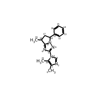 Cc1ncn(-c2nc3n(n2)C(c2ccccc2)CC3C)c1C